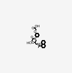 C[C@@H](NCC1CN(c2cccc(OCC(=O)O)c2)C(=O)CO1)c1cccc2ccccc12.Cl